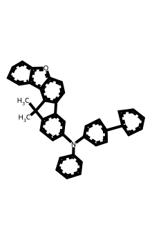 CC1(C)c2ccc(N(c3ccccc3)c3ccc(-c4ccccc4)cc3)cc2-c2ccc3oc4ccccc4c3c21